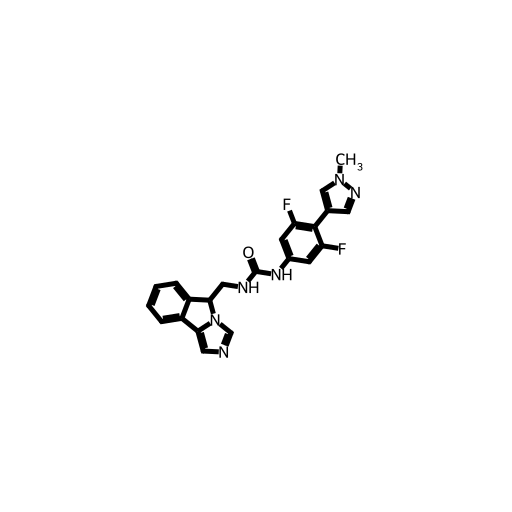 Cn1cc(-c2c(F)cc(NC(=O)NCC3c4ccccc4-c4cncn43)cc2F)cn1